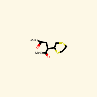 COC(=O)CC(C(=O)OC)C1CSCCS1